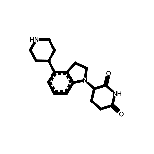 O=C1CCC(N2CCc3c(C4CCNCC4)cccc32)C(=O)N1